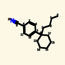 CCCCC1(c2ccc(C#N)cc2)CCCCC1